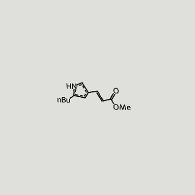 CCCCc1cc(/C=C/C(=O)OC)c[nH]1